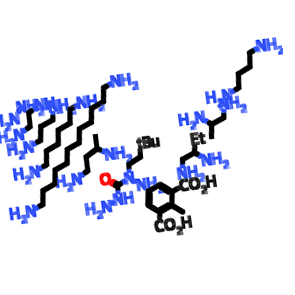 CC(C)(C)CCN(N)C(=O)NN.CC(N)CCN.CC(N)CN.CCC(N)CN.Cc1c(C(=O)O)cccc1C(=O)O.NCCCCCCCCCCCCN.NCCCCCCN.NCCCCN.NCCCN.NCCN.NN